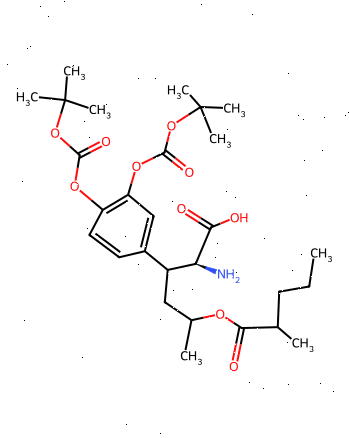 CCCC(C)C(=O)OC(C)CC(c1ccc(OC(=O)OC(C)(C)C)c(OC(=O)OC(C)(C)C)c1)[C@H](N)C(=O)O